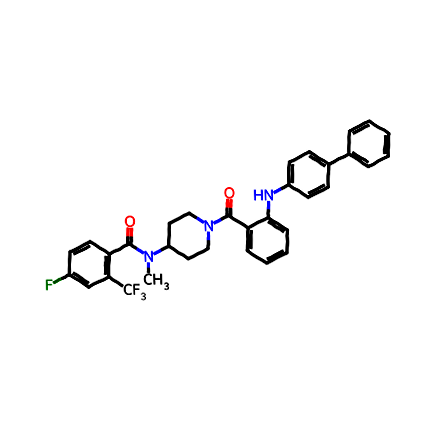 CN(C(=O)c1ccc(F)cc1C(F)(F)F)C1CCN(C(=O)c2ccccc2Nc2ccc(-c3ccccc3)cc2)CC1